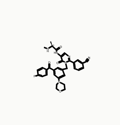 CN[C@@H](C)C(=O)Nc1cnc(-c2cccc(C#N)c2)n(Cc2cc(C(=O)c3ccc(F)cc3)cc(N3CCOCC3)c2)c1=O